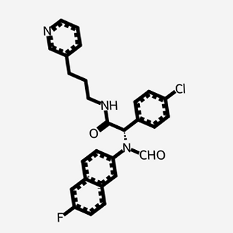 O=CN(c1ccc2cc(F)ccc2c1)[C@H](C(=O)NCCCc1cccnc1)c1ccc(Cl)cc1